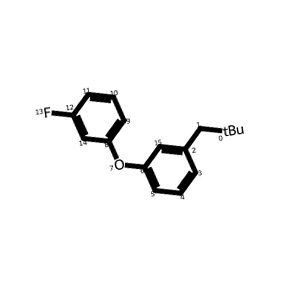 CC(C)(C)Cc1cccc(Oc2cccc(F)c2)c1